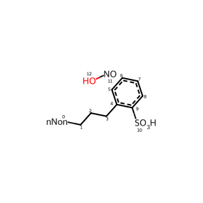 CCCCCCCCCCCCc1ccccc1S(=O)(=O)O.O=NO